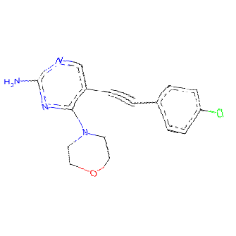 Nc1ncc(C#Cc2ccc(Cl)cc2)c(N2CCOCC2)n1